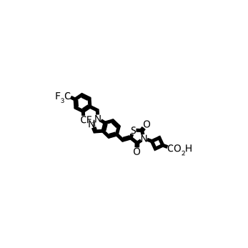 O=C(O)C1CC(N2C(=O)S/C(=C\c3ccc4c(cnn4Cc4ccc(C(F)(F)F)cc4C(F)(F)F)c3)C2=O)C1